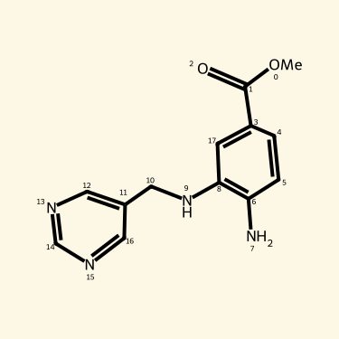 COC(=O)c1ccc(N)c(NCc2cncnc2)c1